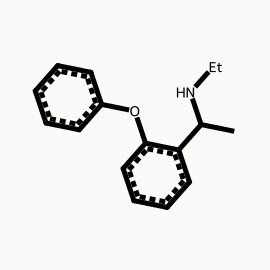 CCNC(C)c1ccccc1Oc1ccccc1